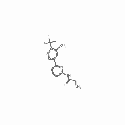 Cc1cc(-c2cccc(NC(=O)CN)n2)cnc1C(F)(F)F